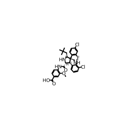 COc1cc(C(=O)O)ccc1NC(=O)[C@@H]1N[C@@H](CC(C)(C)C)[C@](C=N)(c2ccc(Cl)cc2F)[C@H]1c1cccc(Cl)c1F